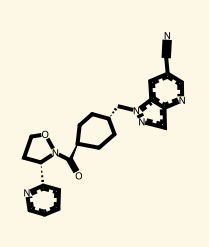 N#Cc1cnc2cnn(C[C@H]3CC[C@H](C(=O)N4OCC[C@H]4c4ccccn4)CC3)c2c1